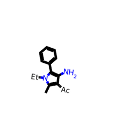 CCn1c(C)c(C(C)=O)c(N)c1-c1ccccc1